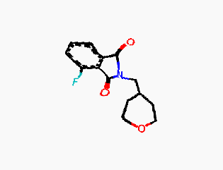 O=C1c2cccc(F)c2C(=O)N1CC1CCOCC1